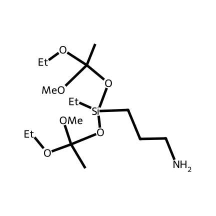 CCOC(C)(OC)O[Si](CC)(CCCN)OC(C)(OC)OCC